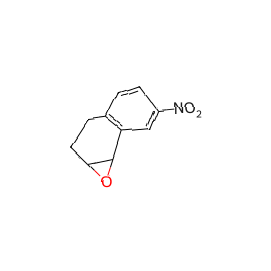 O=[N+]([O-])c1ccc2c(c1)C1OC1CC2